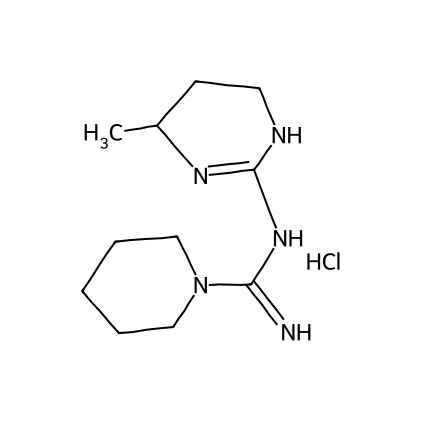 CC1CCNC(NC(=N)N2CCCCC2)=N1.Cl